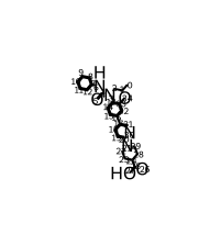 CC1CN(C(=O)Nc2ccccc2)c2ccc(-c3ccc(N4CCC(C(=O)O)CC4)nc3)cc2O1